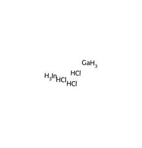 Cl.Cl.Cl.[GaH3].[InH3]